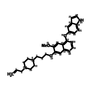 C=CCN1CCN(CCCOc2cc3ncnc(Oc4cnc5[nH]ccc5c4)c3cc2OC)CC1